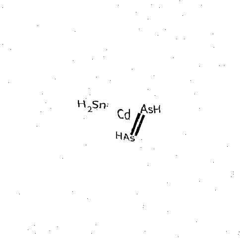 [AsH]=[AsH].[Cd].[SnH2]